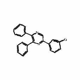 Clc1cccc(-c2cnc(-c3ccccc3)c(-c3ccccc3)n2)c1